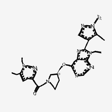 CCn1ncc(-c2nc3c(O[C@H]4CCN(C(=O)c5cc(C)n(C)n5)C4)ncnc3n2C)c1C